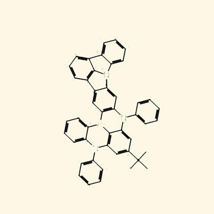 CC(C)(C)c1cc2c3c(c1)N(c1ccccc1)c1cc4c(cc1B3c1ccccc1N2c1ccccc1)c1cccc2c3ccccc3n4c21